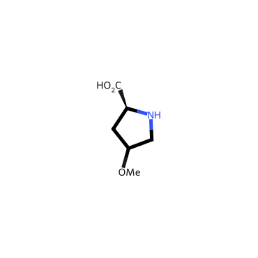 COC1CN[C@H](C(=O)O)C1